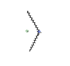 CCCCCCCCCCCCCCCCC[N+](C)(C)CCCCCCCCCCCCCCCCC.[Cl-]